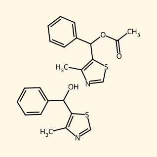 CC(=O)OC(c1ccccc1)c1scnc1C.Cc1ncsc1C(O)c1ccccc1